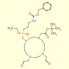 CCOP(=O)(CCCNC(=O)OCc1ccccc1)CN1CCCN(CC=O)CCN(CC=O)CCCN(CC(=O)OC(C)(C)C)CC1